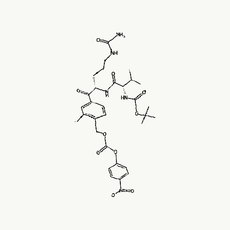 [CH2]c1cc(C(=O)[C@H](CCCNC(N)=O)NC(=O)[C@@H](NC(=O)OC(C)(C)C)C(C)C)ccc1COC(=O)Oc1ccc([N+](=O)[O-])cc1